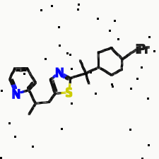 CC(Cc1cnc(C(C)(C)C2CCC(C(C)C)CC2)s1)c1ccccn1